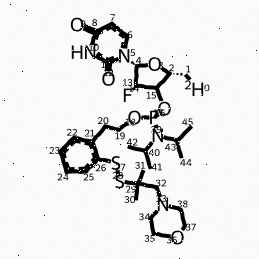 [2H]C[C@H]1O[C@@H](n2ccc(=O)[nH]c2=O)[C@@H](F)C1OP(OCCc1ccccc1SSC(C)(C)CN1CCOCC1)N(C(C)C)C(C)C